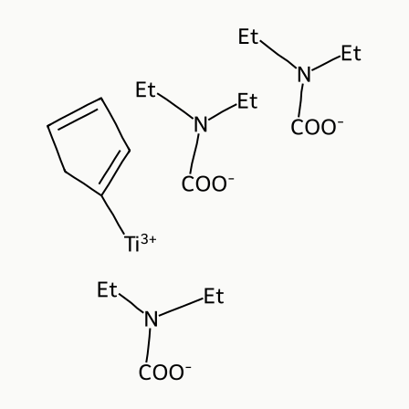 CCN(CC)C(=O)[O-].CCN(CC)C(=O)[O-].CCN(CC)C(=O)[O-].[Ti+3][C]1=CC=CC1